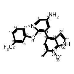 Cc1cc(-c2cc(N)cnc2Oc2cccc(C(F)(F)F)c2)c2cc[nH]c2[n+]1[O-]